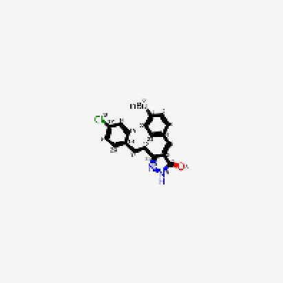 CCCCc1ccc(/C=C2/C(=O)NN=C2CCc2ccc(Cl)cc2)cc1